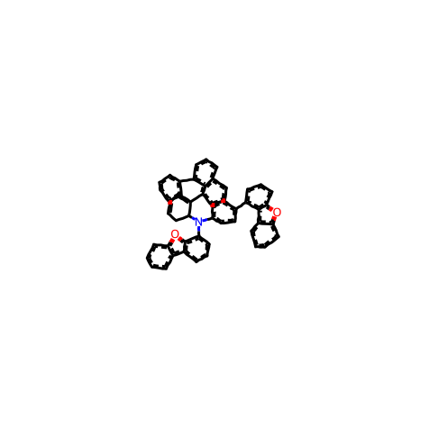 C1=CCC(N(c2ccc(-c3cccc4oc5ccccc5c34)cc2)c2cccc3c2oc2ccccc23)C(c2cccc3cccc(-c4ccccc4)c23)=C1